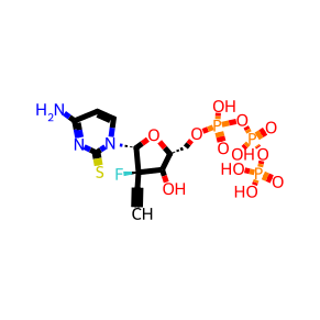 C#C[C@@]1(F)C(O)[C@@H](COP(=O)(O)OP(=O)(O)OP(=O)(O)O)O[C@H]1n1ccc(N)nc1=S